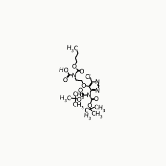 CCCCOC(=O)N(CCOc1c(Cl)ncnc1N(C(=O)OC(C)(C)C)C(=O)OC(C)(C)C)C(=O)O